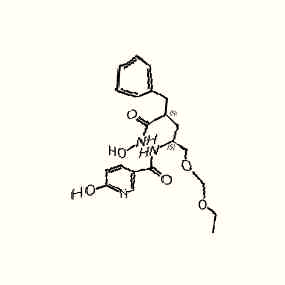 CCOCOC[C@H](C[C@H](Cc1ccccc1)C(=O)NO)NC(=O)c1ccc(O)nc1